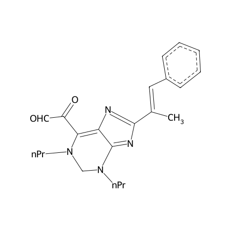 CCCN1CN(CCC)C(C(=O)C=O)=C2N=C(C(C)=Cc3ccccc3)N=C21